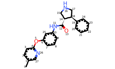 Cc1ccc(Oc2cccc(NC(=O)[C@@H]3CNC[C@H]3c3ccccc3)c2)nc1